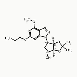 CCCSc1nc(OC)c2nnn([C@@H]3C[C@H](O)[C@H]4OC(C)(C)O[C@H]43)c2n1